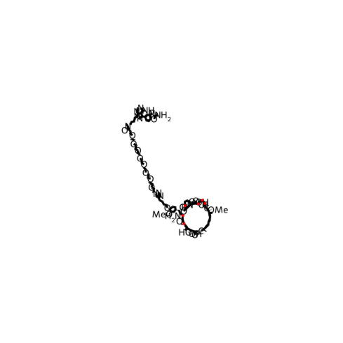 CO[C@H]1C[C@@H]2CC[C@@H](C)[C@@](O)(O2)C(=O)C(=O)N2CCCC[C@H]2C(=O)O[C@H]([C@H](N)C[C@@H]2CC[C@@H](OCCCCc3cn(CCOCCOCCOCCOCCOCCOCCOCCOCCC(=O)N(C)CCCCn4nc(-c5ccc6oc(N)nc6c5)c5c(N)ncnc54)nn3)[C@H](OC)C2)CC(=O)[C@H](C)/C=C(\C)[C@@H](O)[C@@H](O)C(=O)[C@H](C)C[C@H](C)/C=C/C=C/C=C/1C